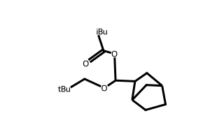 CCC(C)C(=O)OC(OCC(C)(C)C)C1CC2CCC1C2